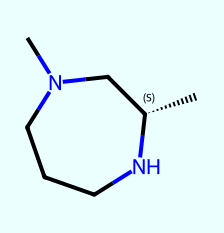 C[C@H]1CN(C)CCCN1